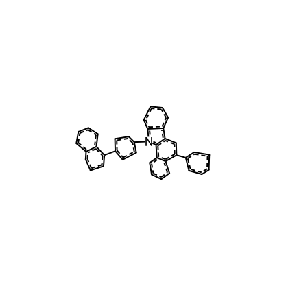 c1ccc(-c2cc3c4ccccc4n(-c4ccc(-c5cccc6ccccc56)cc4)c3c3ccccc23)cc1